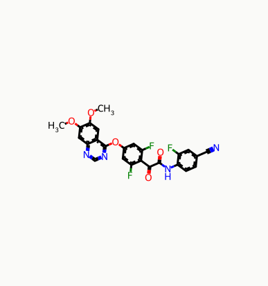 COc1cc2ncnc(Oc3cc(F)c(C(=O)C(=O)Nc4ccc(C#N)cc4F)c(F)c3)c2cc1OC